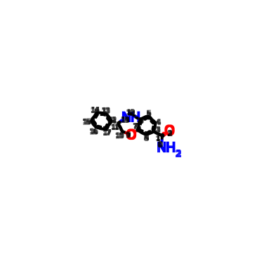 NC(=O)c1ccc2c(c1)OC[C@H](c1ccccc1)NC2